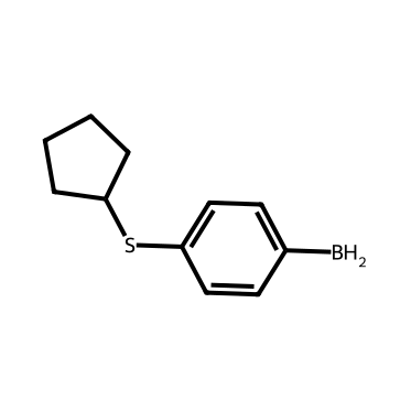 Bc1ccc(SC2CCCC2)cc1